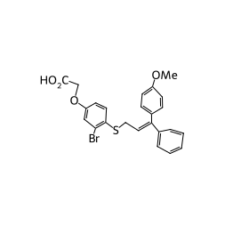 COc1ccc(/C(=C\CSc2ccc(OCC(=O)O)cc2Br)c2ccccc2)cc1